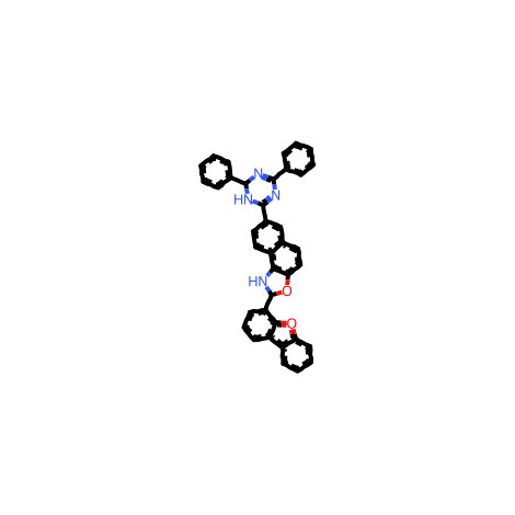 c1ccc(C2=NC(c3ccccc3)NC(c3ccc4c5c(ccc4c3)OC(c3cccc4c3oc3ccccc34)N5)=N2)cc1